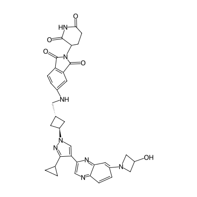 O=C1CCC(N2C(=O)c3ccc(NC[C@H]4C[C@H](n5cc(-c6cnc7ccc(N8CC(O)C8)cc7n6)c(C6CC6)n5)C4)cc3C2=O)C(=O)N1